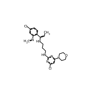 C=Nc1cc(Cl)ccc1/C(=C\C)NCCCNc1nc(Cl)cc(N2CCOCC2)n1